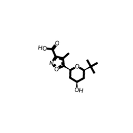 Cc1c(C(=O)O)noc1[C@@H]1C[C@H](O)C[C@H](C(C)(C)C)O1